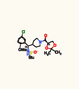 COc1ccc(Cl)cc1[C@H](N[S+]([O-])C(C)(C)C)C1CCN(C(=O)[C@H]2COC(C)(C)O2)CC1